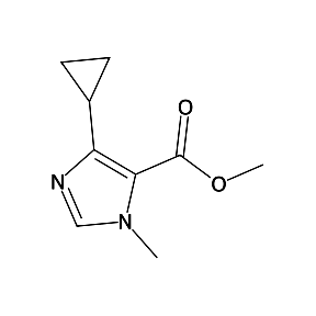 COC(=O)c1c(C2CC2)ncn1C